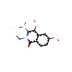 CCCCOc1c(N(C)C(=O)O)n(CC(C)(C)C)c(=O)c2ccc(OCC)cc12